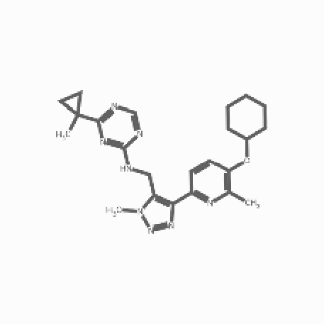 Cc1nc(-c2nnn(C)c2CNc2ncnc(C3(C)CC3)n2)ccc1OC1CCCCC1